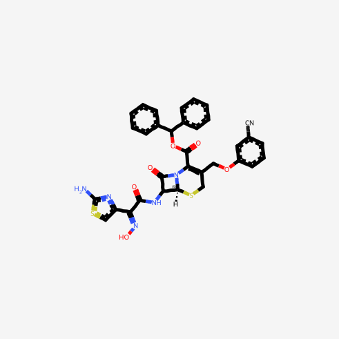 N#Cc1cccc(OCC2=C(C(=O)OC(c3ccccc3)c3ccccc3)N3C(=O)C(NC(=O)C(=NO)c4csc(N)n4)[C@@H]3SC2)c1